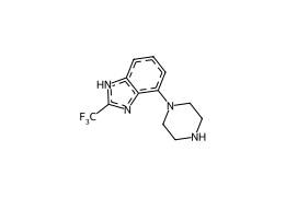 FC(F)(F)c1nc2c(N3CCNCC3)cccc2[nH]1